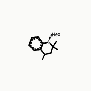 CCCCCCN1c2ccccc2C(C)CC1(C)C